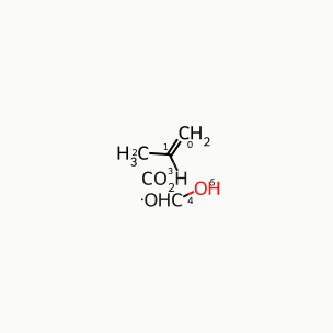 C=C(C)C(=O)O.O=[C]O